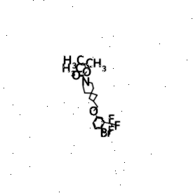 CC(C)(C)OC(=O)N1CCC2(CC1)CC(COc1ccc(Br)c(C(F)(F)F)c1)C2